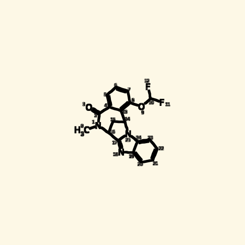 CN1C(=O)c2cccc(OC(F)F)c2C2CC1c1nc3ccccc3n12